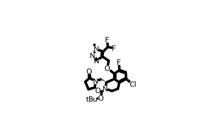 Cn1nnc(COc2c(F)cc(Cl)c3c2[C@@H](CN2CCCC2=O)N(C(=O)OC(C)(C)C)CC3)c1C(F)F